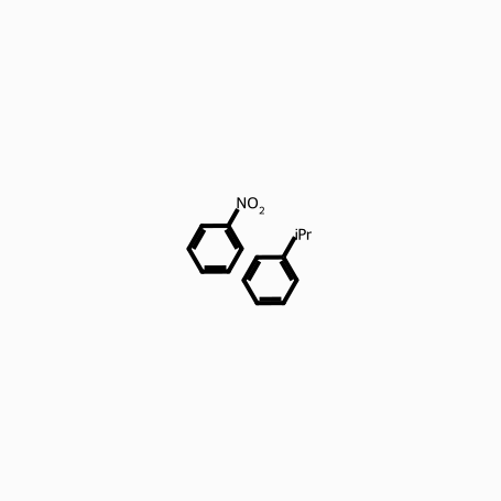 CC(C)c1ccccc1.O=[N+]([O-])c1ccccc1